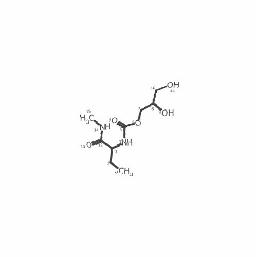 CCC(NC(=O)OCC(O)CO)C(=O)NC